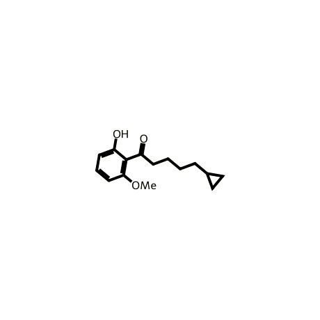 COc1cccc(O)c1C(=O)CCCCC1CC1